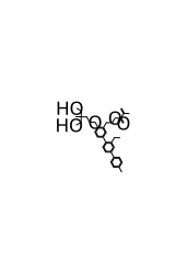 C=C(C)C(=O)OCCc1cc(-c2ccc(-c3ccc(C)cc3)cc2CC)ccc1OCCC(C)(CO)CO